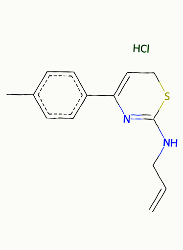 C=CCNC1=NC(c2ccc(C)cc2)=CCS1.Cl